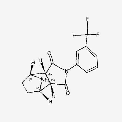 O=C1[C@@H]2[C@H](C(=O)N1c1cccc(C(F)(F)F)c1)[C@@H]1CC[C@H]2N1